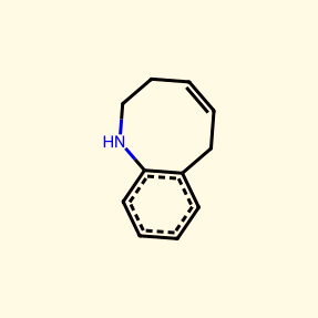 C1=CCc2ccccc2NCC1